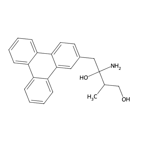 CC(CO)C(N)(O)Cc1ccc2c3ccccc3c3ccccc3c2c1